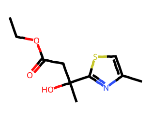 CCOC(=O)CC(C)(O)c1nc(C)cs1